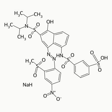 CC(C)N(C(C)C)S(=O)(=O)c1cc(N=Nc2ccc([N+](=O)[O-])cc2S(C)(=O)=O)c2c(NS(=O)(=O)c3cccc(S(=O)(=O)O)c3)cccc2c1O.[NaH]